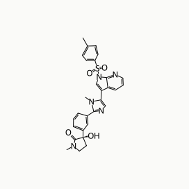 Cc1ccc(S(=O)(=O)n2cc(-c3cnc(-c4cccc([C@]5(O)CCN(C)C5=O)c4)n3C)c3cccnc32)cc1